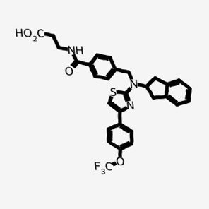 O=C(O)CCNC(=O)c1ccc(CN(c2nc(-c3ccc(OC(F)(F)F)cc3)cs2)C2Cc3ccccc3C2)cc1